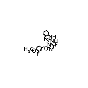 COc1ccc(COc2ncc(F)c(NC(=S)NC3=CCCC=C3F)n2)cc1F